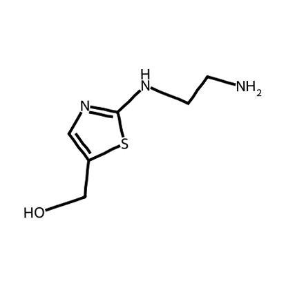 NCCNc1ncc(CO)s1